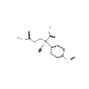 COC(=O)CCC(C#N)(C(=O)OC)c1ccc([N+](=O)[O-])cc1